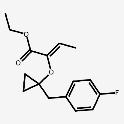 C/C=C(\OC1(Cc2ccc(F)cc2)CC1)C(=O)OCC